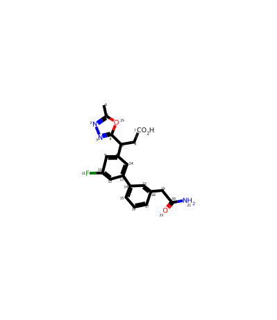 Cc1nnc(C(CC(=O)O)c2cc(F)cc(-c3cccc(CC(N)=O)c3)c2)o1